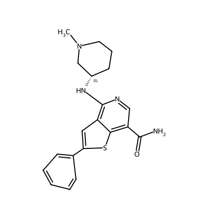 CN1CCC[C@H](Nc2ncc(C(N)=O)c3sc(-c4ccccc4)cc23)C1